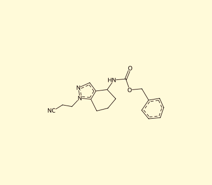 N#CCCn1ncc2c1CCCC2NC(=O)OCc1ccccc1